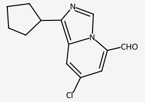 O=Cc1cc(Cl)cc2c(C3CCCC3)ncn12